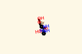 O=C1Nc2cc(C[C@H](Br)OCCO)ccc2/C1=C1/Nc2ccccc2/C1=N\O